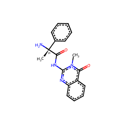 Cn1c(NC(=O)[C@](C)(N)c2ccccc2)nc2ccccc2c1=O